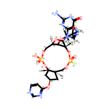 CC(C)(C)[Si](C)(C)OC1[C@H]2OP(=O)(S)OC[C@H]3C[C@@H](Oc4ccncn4)C[C@@H]3OP(=O)(O)OC[C@H]1O[C@H]2n1cnc2c(=O)[nH]c(N)nc21